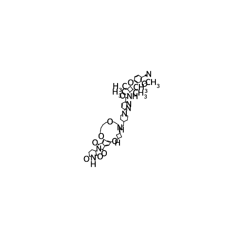 COc1cc(O[C@H]2C(C)(C)[C@H](NC(=O)c3ccc(N4CCC(CN5CCOCCCCOc6cc(cc7c6C(=O)N(C6CCC(=O)NC6=O)C7=O)O[C@H]6C[C@H]5C6)CC4)nn3)C2(C)C)ccc1C#N